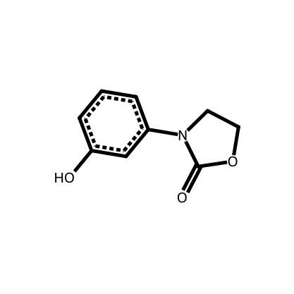 O=C1OCCN1c1cccc(O)c1